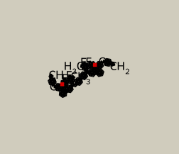 C=Cc1ccc(Oc2ccc(C3(c4ccc(F)cc4)c4ccccc4-c4ccc(C(Cc5ccc(-c6ccc(N(c7ccc(F)c(C)c7)c7ccc8c(c7)C(c7ccc(F)cc7)(c7ccc(Oc9ccc(C=C)cc9)cc7)c7ccccc7-8)cc6)cc5)c5ccc(F)c(C)c5)cc43)cc2)cc1